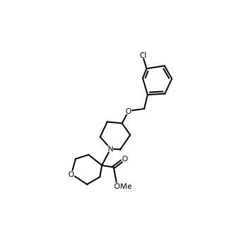 COC(=O)C1(N2CCC(OCc3cccc(Cl)c3)CC2)CCOCC1